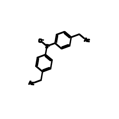 CC(=O)Cc1ccc([S+]([O-])c2ccc(CC(C)=O)cc2)cc1